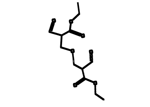 CCOC(=O)C(C=O)COCC(C=O)C(=O)OCC